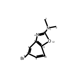 CN(C)c1nc2cc(Br)ccc2o1